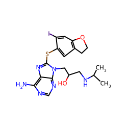 CC(C)NCC(O)Cn1c(Sc2cc3c(cc2I)OCC3)nc2c(N)ncnc21